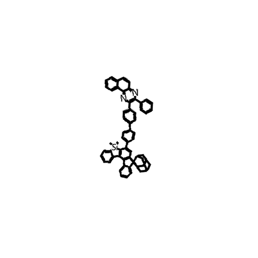 C[Si]1(C)c2ccccc2-c2c3c(cc(-c4ccc(-c5ccc(-c6nc7c(ccc8ccccc87)nc6-c6ccccc6)cc5)cc4)c21)C1(c2ccccc2-3)C2CC3CC(C2)CC1C3